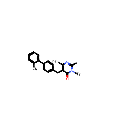 CCCCc1nc(C)n(C(C)C)c(=O)c1Cc1ccc(-c2ccccc2C#N)cc1